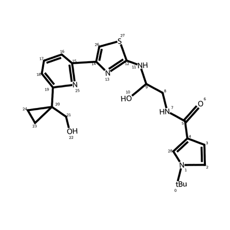 CC(C)(C)n1ccc(C(=O)NCC(O)Nc2nc(-c3cccc(C4(CO)CC4)n3)cs2)c1